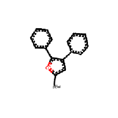 CCCCc1cc(-c2ccccc2)c(-c2ccccc2)o1